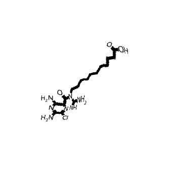 N=C(N)N(CCCCCCCCCCC(=O)O)C(=O)c1nc(Cl)c(N)nc1N